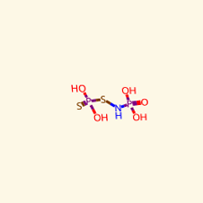 O=P(O)(O)NSP(O)(O)=S